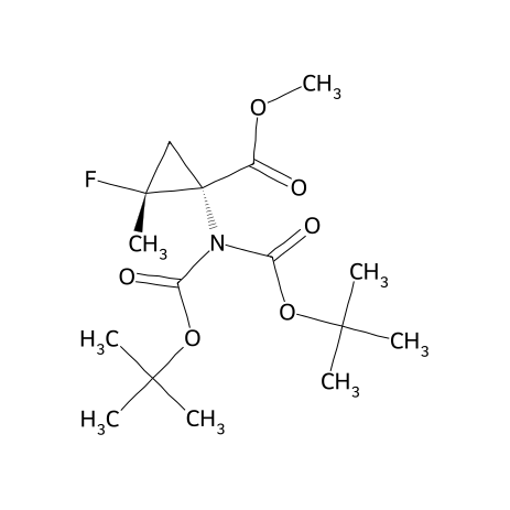 COC(=O)[C@]1(N(C(=O)OC(C)(C)C)C(=O)OC(C)(C)C)C[C@@]1(C)F